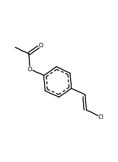 CC(=O)Oc1ccc(C=CCl)cc1